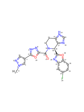 Cn1cc(-c2nnc(C(=O)N3CCc4[nH]cnc4[C@H]3c3nc4cc(F)ccc4o3)o2)cn1